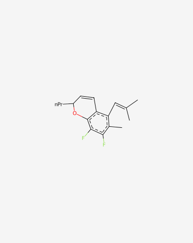 CCCC1C=Cc2c(C=C(C)C)c(C)c(F)c(F)c2O1